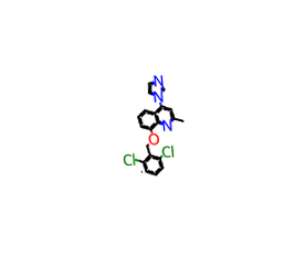 Cc1cc(-n2ccnc2)c2cccc(OCc3c(Cl)[c]ccc3Cl)c2n1